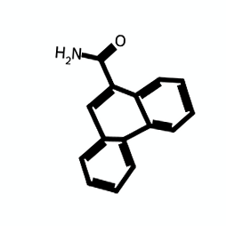 NC(=O)c1cc2ccccc2c2ccccc12